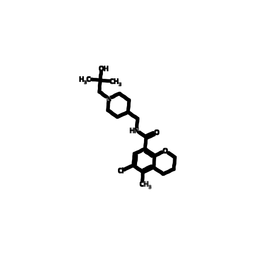 Cc1c(Cl)cc(C(=O)NCC2CCN(CC(C)(C)O)CC2)c2c1CCCO2